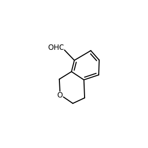 O=Cc1cccc2c1COCC2